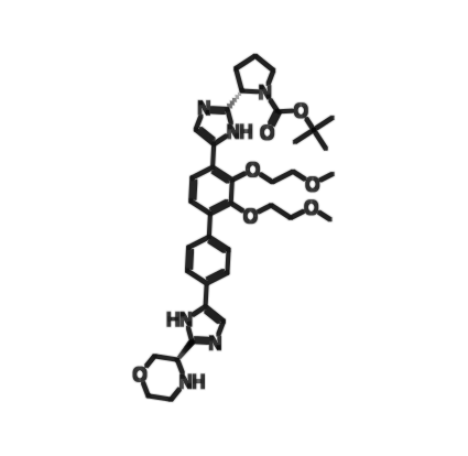 COCCOc1c(-c2ccc(-c3cnc([C@@H]4COCCN4)[nH]3)cc2)ccc(-c2cnc([C@@H]3CCCN3C(=O)OC(C)(C)C)[nH]2)c1OCCOC